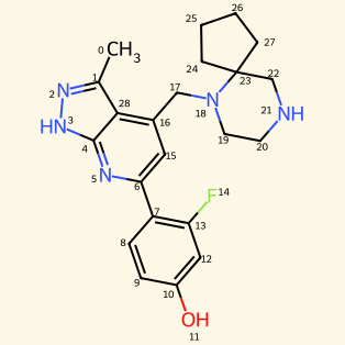 Cc1n[nH]c2nc(-c3ccc(O)cc3F)cc(CN3CCNCC34CCCC4)c12